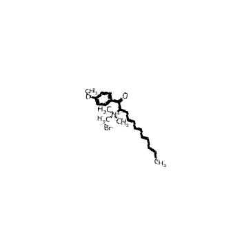 CCCCCCCCCCC(C(=O)c1ccc(OC)cc1)[N+](C)(C)C.[Br-]